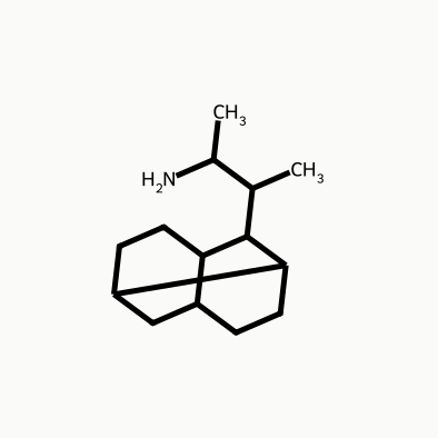 CC(N)C(C)C1C2CCC3CC2CCC31